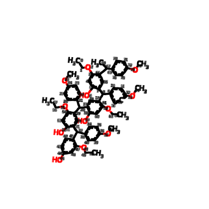 CCOc1cc(O)c(C(c2ccc(OC)cc2)c2cc(C(c3ccc(OC)cc3)c3cc(C(c4ccc(OC)cc4)c4ccc(O)cc4OCC)c(O)cc3OCC)c(O)cc2OCC)cc1C(C)c1ccc(OC)cc1